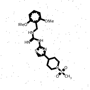 COc1cccc(OC)c1CNC(=N)Nc1nc(C2CCN(S(C)(=O)=O)CC2)cs1